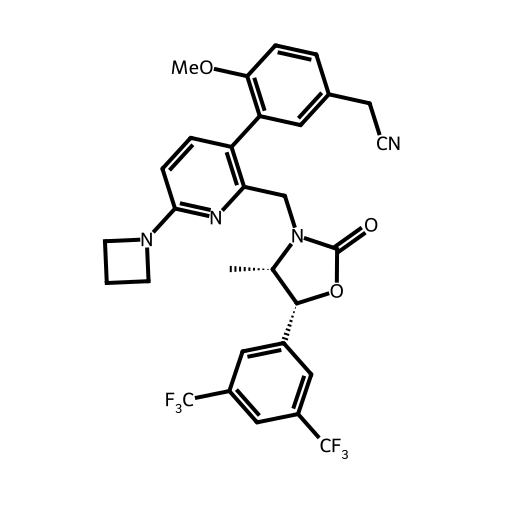 COc1ccc(CC#N)cc1-c1ccc(N2CCC2)nc1CN1C(=O)O[C@H](c2cc(C(F)(F)F)cc(C(F)(F)F)c2)[C@@H]1C